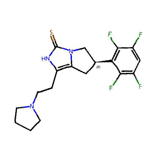 Fc1cc(F)c(F)c([C@H]2Cc3c(CCN4CCCC4)[nH]c(=S)n3C2)c1F